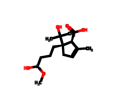 COB(O)CCC[C@]1(C(C)(C)O)CC=C(C)[C@@H]1C(=O)O